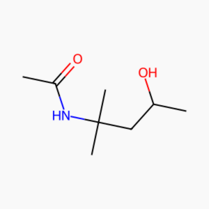 CC(=O)NC(C)(C)CC(C)O